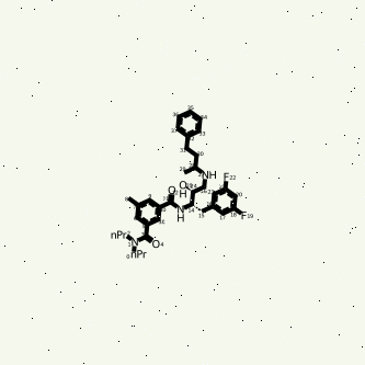 CCCN(CCC)C(=O)c1cc(C)cc(C(=O)N[C@@H](Cc2cc(F)cc(F)c2)[C@H](O)CNC(C)CCc2ccccc2)c1